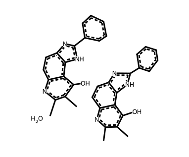 Cc1nc2ccc3nc(-c4ccccc4)[nH]c3c2c(O)c1C.Cc1nc2ccc3nc(-c4ccccc4)[nH]c3c2c(O)c1C.O